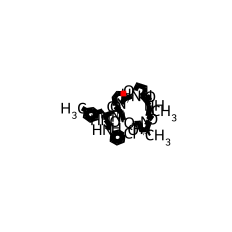 Cc1cccc(C[C@H](NC(=O)Nc2cccc(Cl)c2)C(=O)N[C@H]2COC(=O)[C@@H]3C[C@H](C)CN3C(=O)[C@H](C)NC(=O)[C@@H]3CCCCN3C(=O)[C@@H]3CCCCN3C2=O)c1